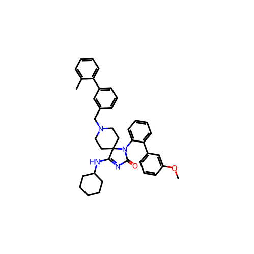 COc1cccc(-c2ccccc2N2C(=O)N=C(NC3CCCCC3)C23CCN(Cc2cccc(-c4ccccc4C)c2)CC3)c1